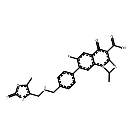 Cc1oc(=O)oc1CNCc1ccc(-c2cc3c(cc2F)c(=O)c(C(=O)O)c2n3C(C)S2)cc1